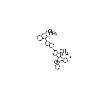 C/C=c1/cc2ccccc2c(-c2ccc3c(c2)CCC(c2ccc4c(c2)C(C)(C)c2c-4c4oc5ccccc5c4c4ccccc24)=C3)/c1=C/C